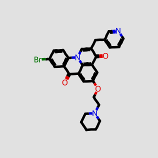 O=c1c(Cc2cccnc2)cn2c3ccc(Br)cc3c(=O)c3cc(OCCN4CCCCC4)cc1c32